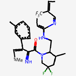 C\C=C(/N=C\C(=C/C)C(F)(F)F)NCC1C(C)CC(F)(F)CN1C(=O)C(=N)/C(=C\NC)c1cccc(C)c1